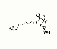 O=C(OCCCCCCO)C(F)(F)SOOO